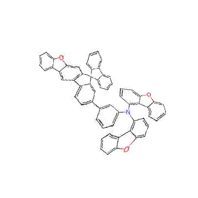 c1cc(-c2ccc3c(c2)C2(c4ccccc4-c4ccccc42)c2cc4oc5ccccc5c4cc2-3)cc(N(c2cccc3oc4ccccc4c23)c2cccc3oc4ccccc4c23)c1